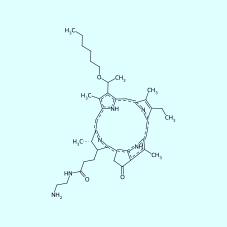 CCCCCCOC(C)c1c(C)c2cc3nc(c4c5[nH]c(cc6nc(cc1[nH]2)C(C)=C6CC)c(C)c5C(=O)C4)C(CCC(=O)NCCN)[C@@H]3C